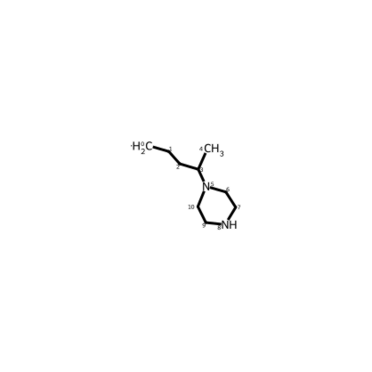 [CH2]CCC(C)N1CCNCC1